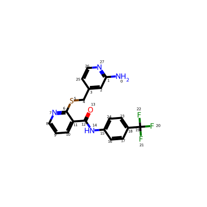 Nc1cc(CSc2ncccc2C(=O)Nc2ccc(C(F)(F)F)cc2)ccn1